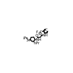 CCC[C@H]1C[C@@H](N(C)C(C)C)CC[C@@H]1NC(=O)CC(=O)Nc1ccccc1C(F)(F)F